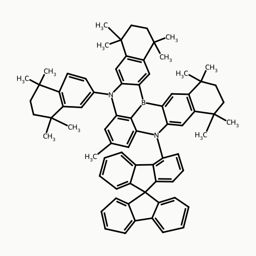 Cc1cc2c3c(c1)N(c1cccc4c1-c1ccccc1C41c4ccccc4-c4ccccc41)c1cc4c(cc1B3c1cc3c(cc1N2c1ccc2c(c1)C(C)(C)CCC2(C)C)C(C)(C)CCC3(C)C)C(C)(C)CCC4(C)C